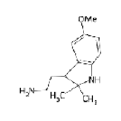 COc1ccc2c(c1)C(CCN)C(C)(C)N2